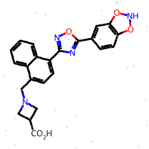 O=C(O)C1CN(Cc2ccc(-c3noc(-c4ccc5c(c4)ONO5)n3)c3ccccc23)C1